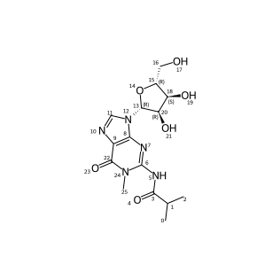 CC(C)C(=O)Nc1nc2c(ncn2[C@@H]2O[C@H](CO)[C@@H](O)[C@H]2O)c(=O)n1C